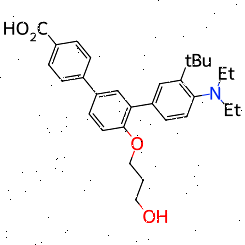 CCN(CC)c1ccc(-c2cc(-c3ccc(C(=O)O)cc3)ccc2OCCCO)cc1C(C)(C)C